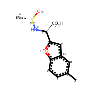 Cc1ccc2oc([C@H](N[S@@+]([O-])C(C)(C)C)C(=O)O)cc2c1